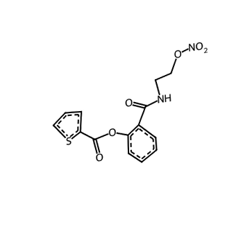 O=C(Oc1ccccc1C(=O)NCCO[N+](=O)[O-])c1cccs1